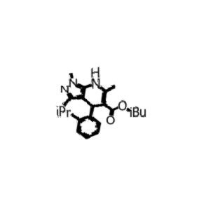 CCC(C)OC(=O)C1=C(C)Nc2c(c(C)nn2C)C1c1ccccc1C(C)C